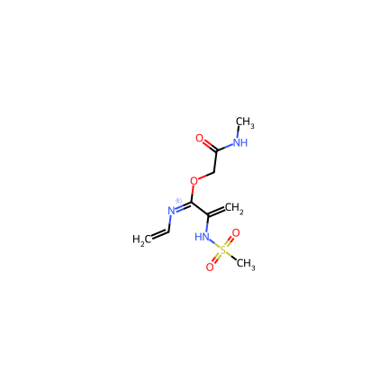 C=C/N=C(/OCC(=O)NC)C(=C)NS(C)(=O)=O